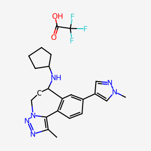 Cc1nnn2c1-c1ccc(-c3cnn(C)c3)cc1C(NC1CCCC1)CC2.O=C(O)C(F)(F)F